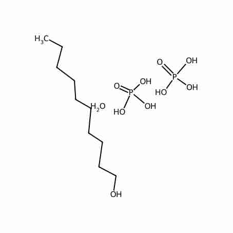 CCCCCCCCCCO.O.O=P(O)(O)O.O=P(O)(O)O